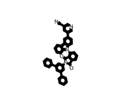 N#Cc1cncc(-c2ccc3c(c2)c2ccccc2n3-c2cccc3c2C(=O)N(c2cc(-c4ccccc4)cc(-c4ccccc4)c2)C3=O)c1